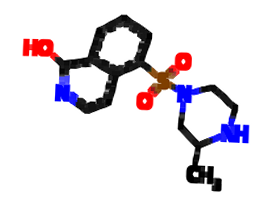 CC1CN(S(=O)(=O)c2cccc3c(O)nccc23)CCN1